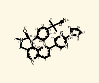 CN1Cc2cnc3ccc(-c4cnc(-n5cccn5)nc4)nc3c2N(c2ccc(C(C)(C)C#N)cc2)C1=O